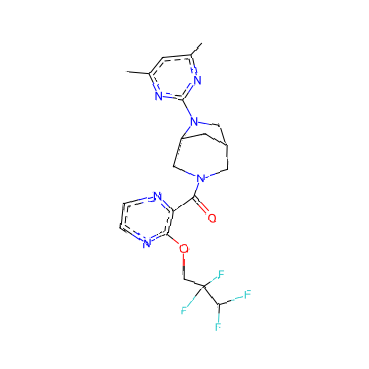 Cc1cc(C)nc(N2CC3CC2CN(C(=O)c2nccnc2OCC(F)(F)C(F)F)C3)n1